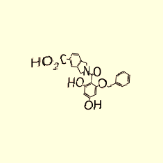 O=C(O)c1ccc2c(c1)CN(C(=O)c1c(O)cc(O)cc1OCc1ccccc1)C2